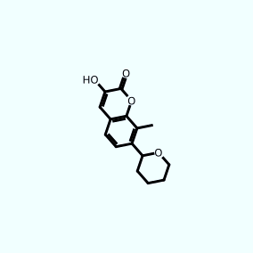 Cc1c(C2CCCCO2)ccc2cc(O)c(=O)oc12